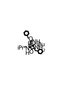 CC[C@H](C)[C@H](NC(=O)OCc1ccccc1)C(=O)[C@@](N)(Cc1ccccc1)C(=O)C(=O)NCC(C)C